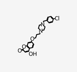 O=c1cc(O)c2ccc(OCCCN3CCN(Cc4ccc(Cl)cc4)CC3)cc2o1